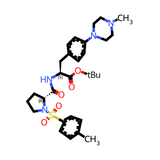 Cc1ccc(S(=O)(=O)N2CCC[C@@H]2C(=O)N[C@@H](Cc2ccc(N3CCN(C)CC3)cc2)C(=O)OC(C)(C)C)cc1